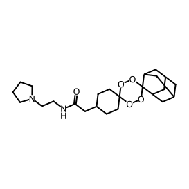 O=C(CC1CCC2(CC1)OOC1(OO2)C2CC3CC(C2)CC1C3)NCCN1CCCC1